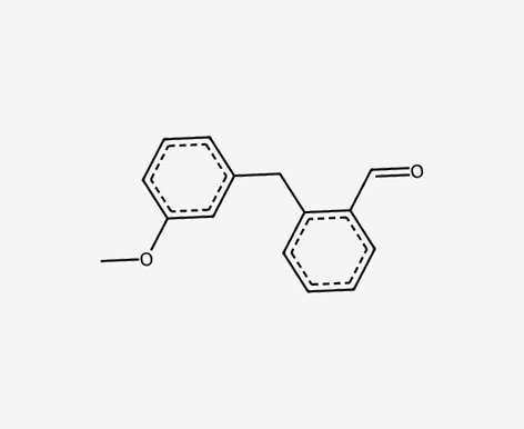 COc1cccc(Cc2ccccc2C=O)c1